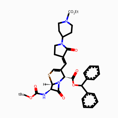 CCOC(=O)N1CCC(N2CC/C(=C\C3=CS[C@@H]4[C@H](NC(=O)OC(C)(C)C)C(=O)N4[C@H]3C(=O)OC(c3ccccc3)c3ccccc3)C2=O)CC1